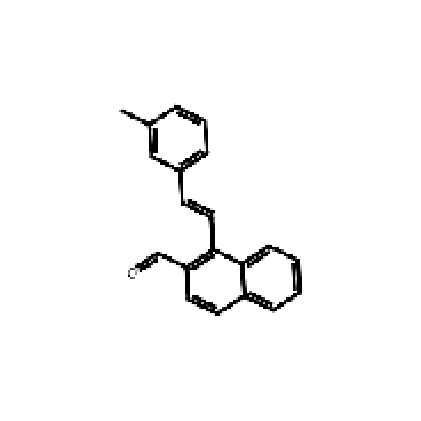 Cc1cccc(C=Cc2c(C=O)ccc3ccccc23)c1